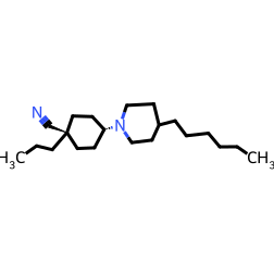 CCCCCCC1CCN([C@H]2CC[C@@](C#N)(CCC)CC2)CC1